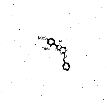 COc1cc(SC)ccc1-c1nc2nc(OCc3ccccc3)ncc2[nH]1